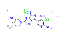 CC1(CN)CCN(c2cnc3c(-c4cnc(N)c(Cl)c4N)n[nH]c3n2)CC1.Cl.Cl